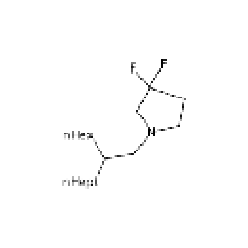 CCCCCCCC(CCCCCC)CN1CCC(F)(F)C1